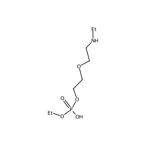 CCNCCOCCOP(=O)(O)OCC